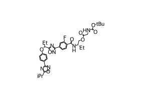 CCC(Oc1ccc(-c2noc(C(C)C)n2)cc1)c1nc(-c2ccc(C(=O)N[C@@H](CC)COC(=O)CNC(=O)OC(C)(C)C)c(F)c2)no1